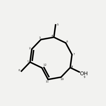 CC1=C/CC(C)CCC(O)C\C=C\1